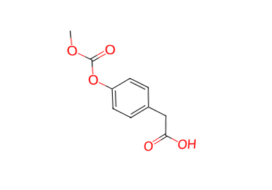 COC(=O)Oc1ccc(CC(=O)O)cc1